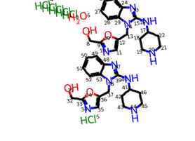 Cl.Cl.Cl.Cl.Cl.Cl.O.OCc1ncc(Cn2c(NC3CCNCC3)nc3ccccc32)o1.OCc1ncc(Cn2c(NC3CCNCC3)nc3ccccc32)o1